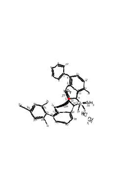 CC1=Cc2c(-c3ccccc3)ccc(C)c2[CH]1[Zr]([CH3])([CH3])(=[SiH2])[CH]1C(C(C)C)=Cc2c(-c3c(C)cc(C)cc3C)cccc21.Cl.Cl